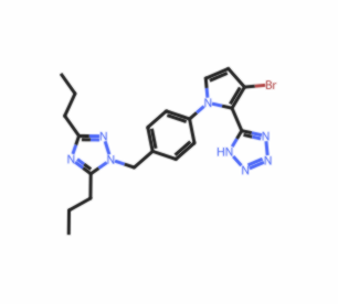 CCCc1nc(CCC)n(Cc2ccc(-n3ccc(Br)c3-c3nnn[nH]3)cc2)n1